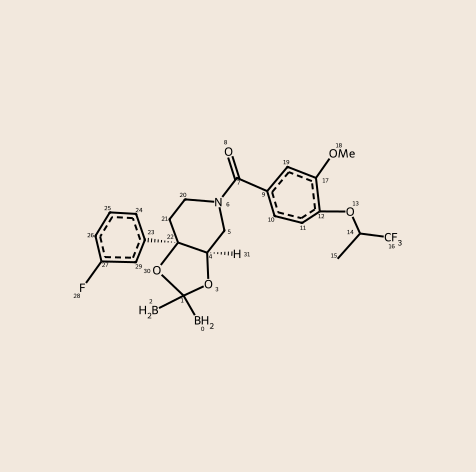 BC1(B)O[C@@H]2CN(C(=O)c3ccc(OC(C)C(F)(F)F)c(OC)c3)CC[C@]2(c2cccc(F)c2)O1